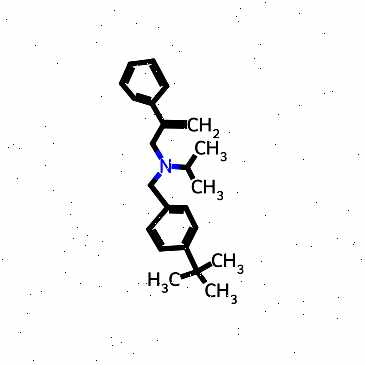 C=C(CN(Cc1ccc(C(C)(C)C)cc1)C(C)C)c1ccccc1